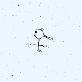 C=C1OC=CN1C(C)(C)C